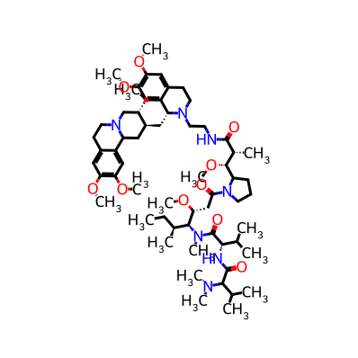 CC[C@H]1CN2CCc3cc(OC)c(OC)cc3C2C[C@@H]1C[C@@H]1c2cc(OC)c(OC)cc2CCN1CCNC(=O)[C@H](C)[C@@H](OC)C1CCCN1C(=O)C[C@@H](OC)[C@H]([C@@H](C)CC)N(C)C(=O)[C@@H](NC(=O)C(C(C)C)N(C)C)C(C)C